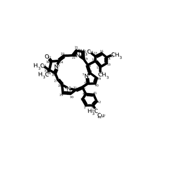 Cc1ccc(-c2c3nc(c(-c4c(C)cc(C)cc4C)c4ccc(cc5nc(cc6ccc2[nH]6)C(C)(C)C5=O)[nH]4)C=C3)cc1.[Cu]